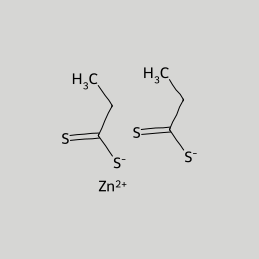 CCC(=S)[S-].CCC(=S)[S-].[Zn+2]